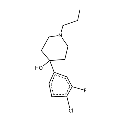 CCCN1CCC(O)(c2ccc(Cl)c(F)c2)CC1